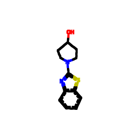 OC1CCN(c2nc3ccccc3s2)CC1